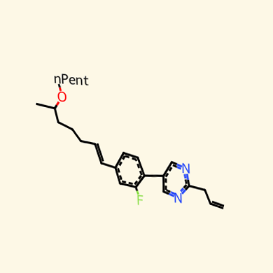 C=CCc1ncc(-c2ccc(/C=C/CCCC(C)OCCCCC)cc2F)cn1